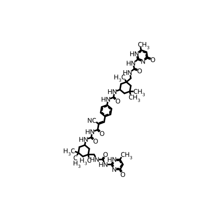 Cc1cc(=O)nc(NC(=O)NCC2(C)CC(NC(=O)NC(=O)/C(C#N)=C/c3ccc(NC(=O)NC4CC(C)(C)CC(C)(CNC(=O)Nc5nc(=O)cc(C)[nH]5)C4)cc3)CC(C)(C)C2)[nH]1